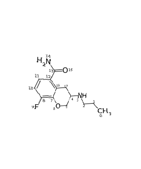 CCCNC1COc2c(F)ccc(C(N)=O)c2C1